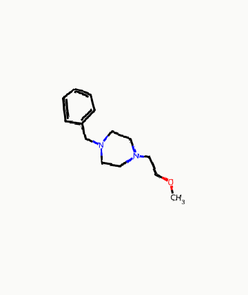 COCCN1CCN(Cc2ccccc2)CC1